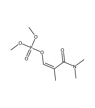 COP(=O)(OC)OC=C(C)C(=O)N(C)C